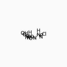 CCN(CCCC(C)Nc1ccnc2cc(Cl)ccc12)CCOC(=O)Nc1ncnn2c([C@H]3CC[C@@H](CO)O3)ccc12